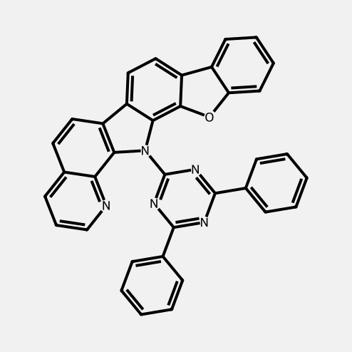 c1ccc(-c2nc(-c3ccccc3)nc(-n3c4c(ccc5cccnc54)c4ccc5c6ccccc6oc5c43)n2)cc1